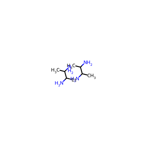 CC(N)C(C)N.CCC(N)C(C)N